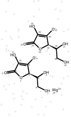 O=C1O[C@H](C(O)CO)C([O-])=C1O.O=C1O[C@H](C(O)CO)C([O-])=C1O.[Mg+2]